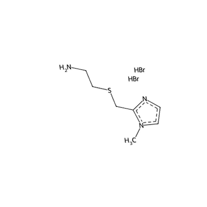 Br.Br.Cn1ccnc1CSCCN